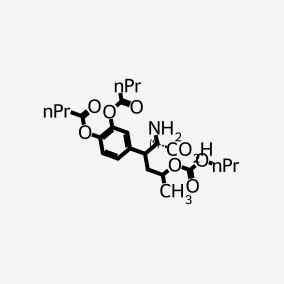 CCCOC(=O)OC(C)CC(c1ccc(OC(=O)CCC)c(OC(=O)CCC)c1)[C@H](N)C(=O)O